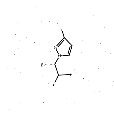 CC[C@@H](C(F)F)n1ccc(F)n1